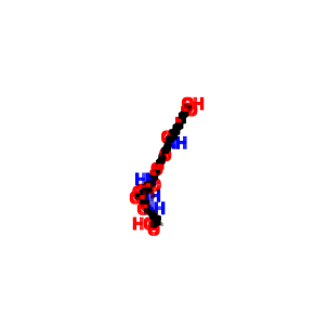 C[C@@H](CCCCNC(=O)CC[C@H](NC(=O)CCC(=O)NCCCOCCCCOCCCNC(=O)CCCCCCCCCCC(=O)O)C(=O)O)C(=O)O